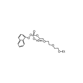 CCCCCCCCCCOP(=O)(OCCOCCOCCOCC)OOc1cccc2ccccc12